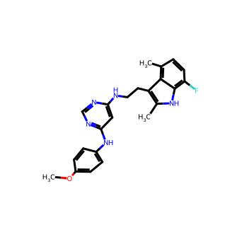 COc1ccc(Nc2cc(NCCc3c(C)[nH]c4c(F)ccc(C)c34)ncn2)cc1